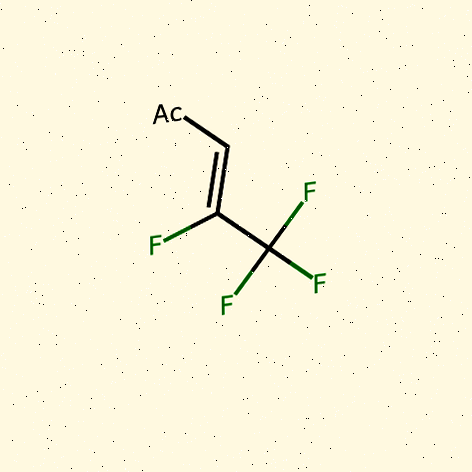 CC(=O)C=C(F)C(F)(F)F